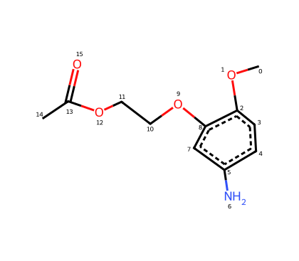 COc1ccc(N)cc1OCCOC(C)=O